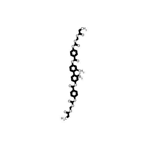 C=CC(=O)OCOC(=O)Oc1ccc(C(=O)Oc2ccc(-c3ccc(OC(=O)c4ccc(OC(=O)OCOC(=O)C=C)cc4)cc3C)c(C)c2)cc1